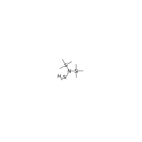 C[Si](C)(C)N([SiH3])[Si](C)(C)C